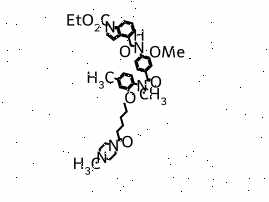 CCOC(=O)n1ccc2c(C(=O)Nc3ccc(C(=O)N(C)c4ccc(C)cc4OCCCCCC(=O)N4CCN(C)CC4)cc3OC)cccc21